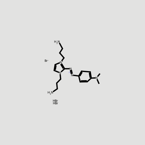 Br.Br.CN(C)c1ccc(/N=N/c2n(CCCN)cc[n+]2CCCN)cc1.[Br-]